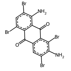 Nc1c(Br)cc2c(c1Br)C(=O)c1c(N)c(Br)cc(Br)c1C2=O